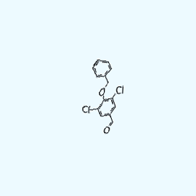 O=Cc1cc(Cl)c(OCc2ccccc2)c(Cl)c1